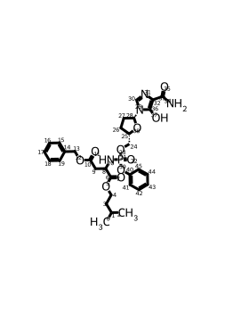 CC(C)CCOC(=O)C(CC(=O)OCc1ccccc1)NP(=O)(OC[C@@H]1CC[C@H](n2cnc(C(N)=O)c2O)O1)Oc1ccccc1